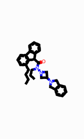 CCCCc1cccc2c1C(C(=O)N(CCC)N1CC(N3Cc4ccccc4C3)C1)c1ccccc1-2